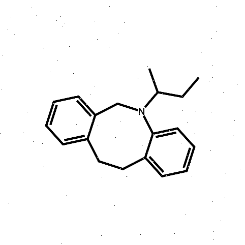 CCC(C)N1Cc2ccccc2CCc2ccccc21